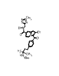 CCc1cc2cc(C(=O)N(CC)Cc3nnn(C)n3)ccn2c1C(=O)c1ccc(CCC(C)(C)NC(C)(C)C)cc1